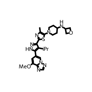 COc1cc(-c2[nH]nc(-c3nc(C)c(N4CCC(NC5COC5)CC4)s3)c2C(C)C)cn2ncnc12